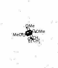 CCC(C)(C)C(=O)OC12CC3(OCOC)CC(OCOC)(CC(OCOC)(C3)C1)C2